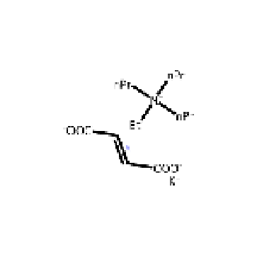 CCC[N+](CC)(CCC)CCC.O=C([O-])/C=C/C(=O)[O-].[K+]